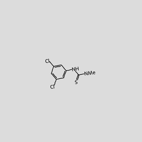 CNC(=S)Nc1cc(Cl)cc(Cl)c1